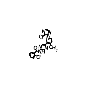 CC1=C(c2cnc(NC(=O)c3ccccc3Cl)cn2)CN(c2nccnc2Cl)CC1